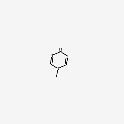 CN1C=NNI=C1